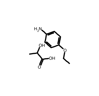 CC(O)C(=O)O.CCOc1ccc(N)cc1